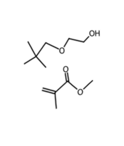 C=C(C)C(=O)OC.CC(C)(C)COCCO